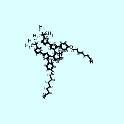 CC(C)(C)c1ccc(-c2cc(C3=C(c4cc(-c5ccc(C(C)(C)C)s5)sc4-c4ccc(OCCCCCCC#N)cc4)C(F)(F)C(F)(F)C3(F)F)c(-c3ccc(OCCCCCCC#N)cc3)s2)s1